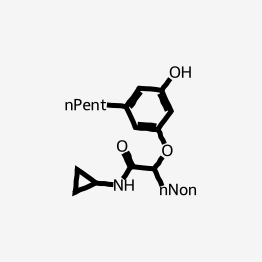 CCCCCCCCCC(Oc1cc(O)cc(CCCCC)c1)C(=O)NC1CC1